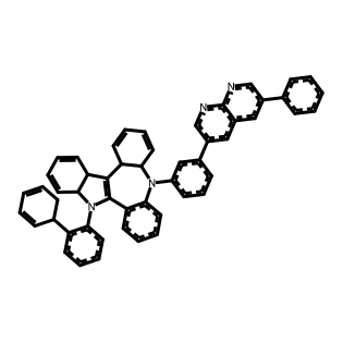 C1=CCC(c2ccccc2N2C3=C(C4C=CC=CC42)C2C=CC=CC2N(c2cccc(-c4cnc5ncc(-c6ccccc6)cc5c4)c2)c2ccccc23)C=C1